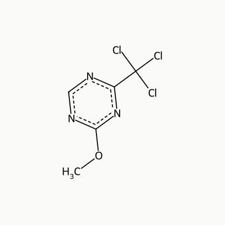 COc1ncnc(C(Cl)(Cl)Cl)n1